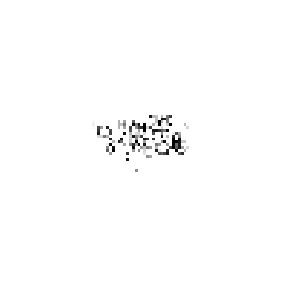 CCOC(=O)C1=C(N2CCC(C(=O)c3ccc(F)cc3)CC2)N(C)C(C)=C(C(=O)OC)C1c1cccc([N+](=O)[O-])c1